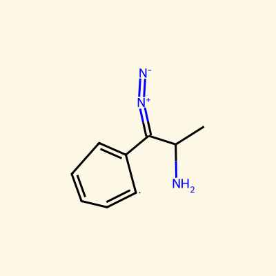 CC(N)C(=[N+]=[N-])c1[c]cccc1